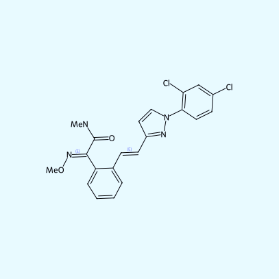 CNC(=O)/C(=N/OC)c1ccccc1/C=C/c1ccn(-c2ccc(Cl)cc2Cl)n1